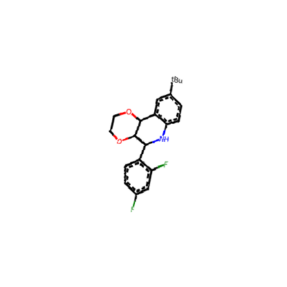 CC(C)(C)c1ccc2c(c1)C1OCCOC1C(c1ccc(F)cc1F)N2